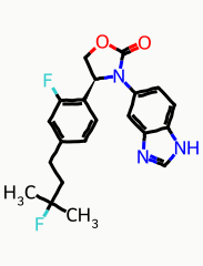 CC(C)(F)CCc1ccc([C@H]2COC(=O)N2c2ccc3[nH]cnc3c2)c(F)c1